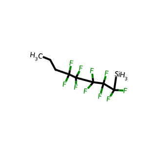 CCCC(F)(F)C(F)(F)C(F)(F)C(F)(F)C(F)(F)[SiH3]